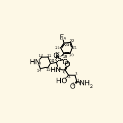 NC(=O)CC(O)C(=O)NC(C1CCNCC1)S(=O)(=O)c1cccc(F)c1